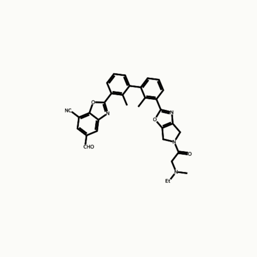 CCN(C)CC(=O)N1Cc2nc(-c3cccc(-c4cccc(-c5nc6cc(C=O)cc(C#N)c6o5)c4C)c3C)oc2C1